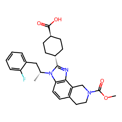 COC(=O)N1CCc2ccc3c(nc([C@H]4CC[C@H](C(=O)O)CC4)n3[C@H](C)Cc3ccccc3F)c2C1